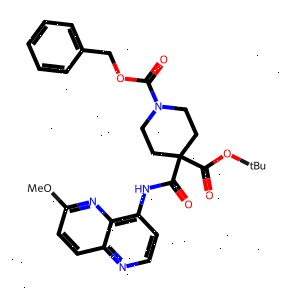 COc1ccc2nccc(NC(=O)C3(C(=O)OC(C)(C)C)CCN(C(=O)OCc4ccccc4)CC3)c2n1